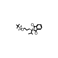 CC(C)[C@@H](CCCO[Si](C)(C)C(C)(C)C)N1C(=O)c2ccccc2C1=O